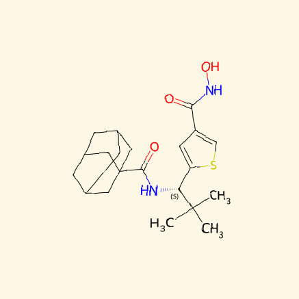 CC(C)(C)[C@H](NC(=O)C12CC3CC(CC(C3)C1)C2)c1cc(C(=O)NO)cs1